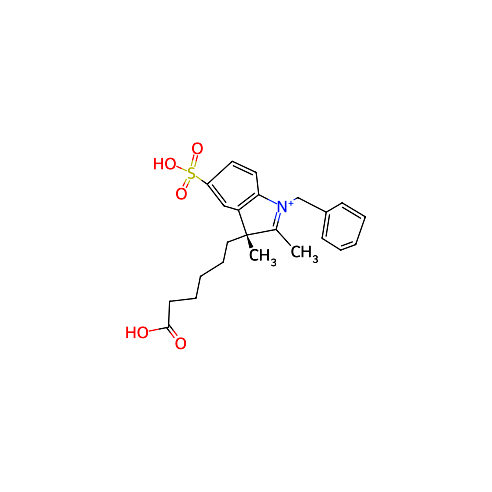 CC1=[N+](Cc2ccccc2)c2ccc(S(=O)(=O)O)cc2[C@@]1(C)CCCCCC(=O)O